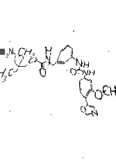 CCC(CC)(CCN)COC(=O)NCc1cccc(NC(=O)Nc2ccc(-c3cnco3)c(OC)c2)c1